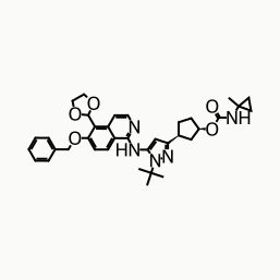 CC1(NC(=O)O[C@@H]2CC[C@H](c3cc(Nc4nccc5c(C6OCCO6)c(OCc6ccccc6)ccc45)n(C(C)(C)C)n3)C2)CC1